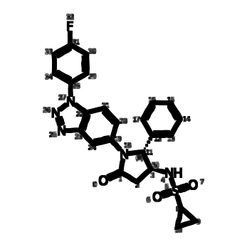 O=C1C[C@H](NS(=O)(=O)C2CC2)[C@@H](c2ccccc2)N1c1ccc2c(c1)nnn2-c1ccc(F)cc1